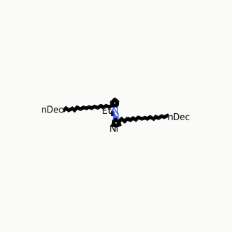 CCCCCCCCCCCCCCCCCCCCCCCC=CCCc1ccccc1N=CC(CC)=Nc1ccccc1CCC=CCCCCCCCCCCCCCCCCCCCCCCC.[Ni]